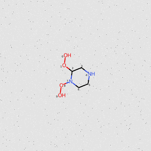 OOC1CNCCN1OO